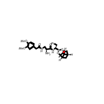 COc1ccc(CC(=O)NC[C@H](N)C(=O)N[C@@H](CC(C)C)B2O[C@@H]3C[C@@H]4C[C@@H](C4(C)C)[C@]3(C)O2)cc1OC